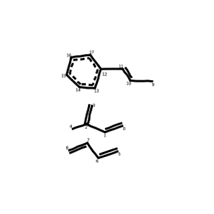 C=CC(=C)C.C=CC=C.CC=Cc1ccccc1